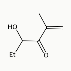 [CH2]CC(O)C(=O)C(=C)C